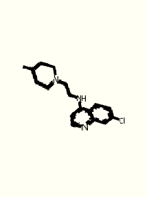 CC1CCN(CCNc2ccnc3cc(Cl)ccc23)CC1